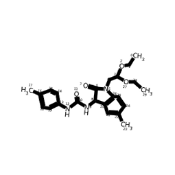 CCOC(CN1C(=O)C(NC(=O)Nc2ccc(C)cc2)c2cc(C)ccc21)OCC